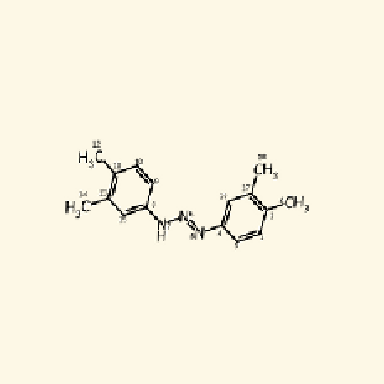 Cc1ccc(N=NNc2ccc(C)c(C)c2)cc1C